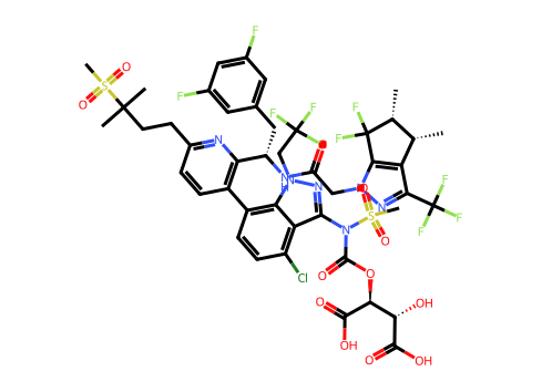 C[C@@H]1c2c(C(F)(F)F)nn(CC(=O)N[C@@H](Cc3cc(F)cc(F)c3)c3nc(CCC(C)(C)S(C)(=O)=O)ccc3-c3ccc(Cl)c4c(N(C(=O)O[C@H](C(=O)O)[C@H](O)C(=O)O)S(C)(=O)=O)nn(CC(F)(F)F)c34)c2C(F)(F)[C@@H]1C